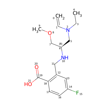 C=CN(CC)C[C@H](COC)NCc1cc(F)ccc1C(=O)O